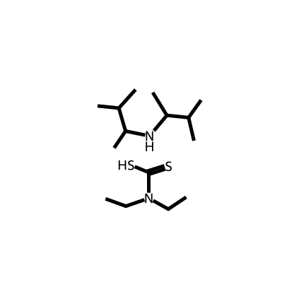 CC(C)C(C)NC(C)C(C)C.CCN(CC)C(=S)S